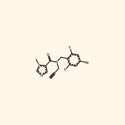 C#CCN(Cc1c(F)cc(Br)cc1F)C(=O)c1cncn1C